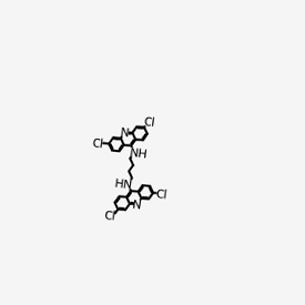 Clc1ccc2c(NCCCCNc3c4ccc(Cl)cc4nc4cc(Cl)ccc34)c3ccc(Cl)cc3nc2c1